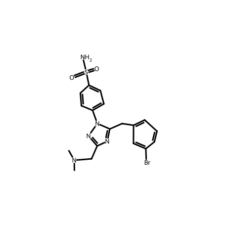 CN(C)Cc1nc(Cc2cccc(Br)c2)n(-c2ccc(S(N)(=O)=O)cc2)n1